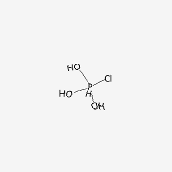 O[PH](O)(O)Cl